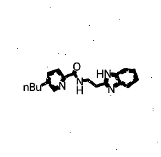 CCCCc1ccc(C(=O)NCCc2nc3ccccc3[nH]2)nc1